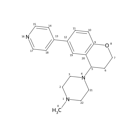 CN1CCN(C2CCOc3ccc(-c4ccncc4)cc32)CC1